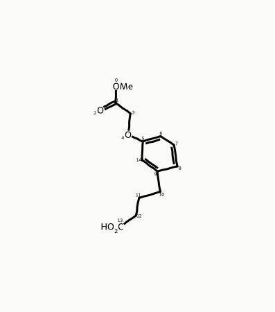 COC(=O)COc1cccc(CCCC(=O)O)c1